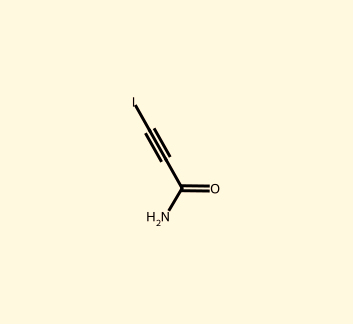 NC(=O)C#CI